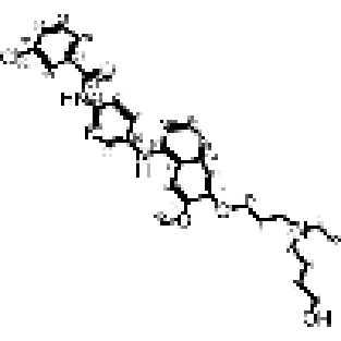 CCN(CCCCO)CCCOc1cc2ncnc(Nc3ccc(NC(=O)c4cccc(Cl)c4)nc3)c2cc1OC